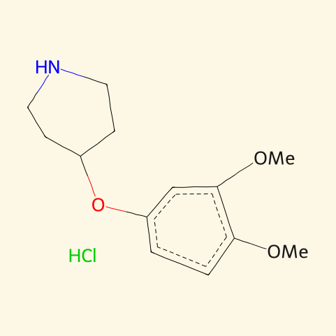 COc1ccc(OC2CCNCC2)cc1OC.Cl